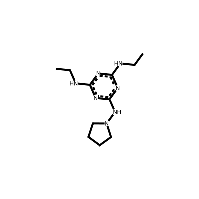 CCNc1nc(NCC)nc(NN2CCCC2)n1